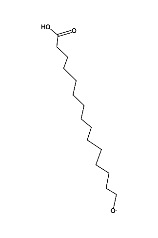 [O]CCCCCCCCCCCCCCC(=O)O